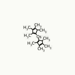 CC1=C(C)C(C)[C]([Os][C]2=C(C)C(C)=C(C)C2C)=C1C